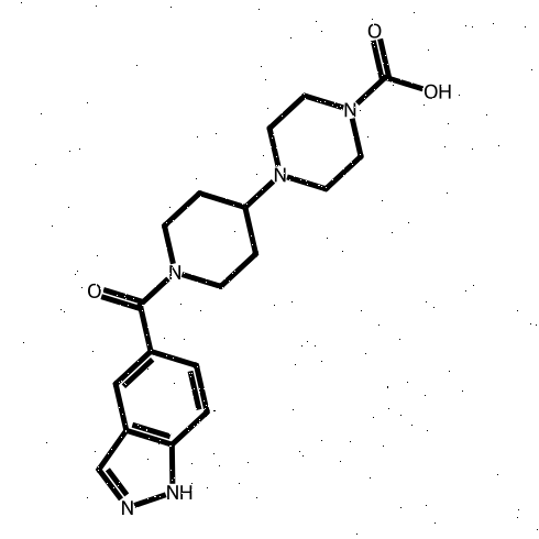 O=C(O)N1CCN(C2CCN(C(=O)c3ccc4[nH]ncc4c3)CC2)CC1